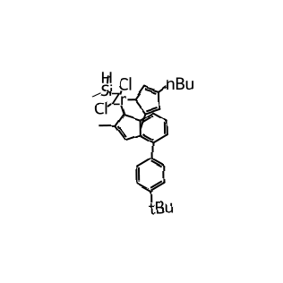 CCCCC1=C[CH]([Zr]([Cl])([Cl])([CH]2C(C)=Cc3c(-c4ccc(C(C)(C)C)cc4)cccc32)[SiH](C)C)C(C)=C1